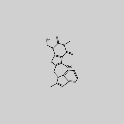 Cc1nc2ccccc2n1Cc1sc2c(c1C=O)c(=O)n(C)c(=O)n2CC(C)C